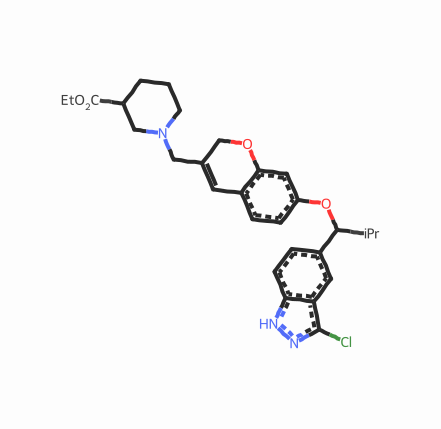 CCOC(=O)C1CCCN(CC2=Cc3ccc(OC(c4ccc5[nH]nc(Cl)c5c4)C(C)C)cc3OC2)C1